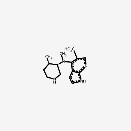 C[C@@H]1CCNC[C@@H]1N(C)c1c(C(=O)O)cnc2[nH]ccc12